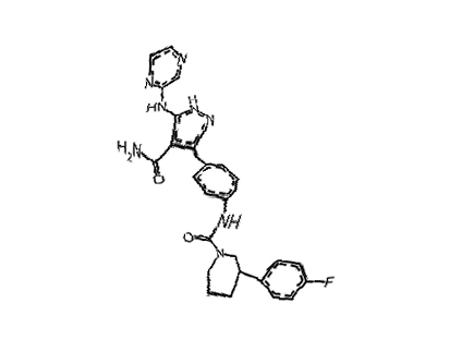 NC(=O)c1c(-c2ccc(NC(=O)N3CCCC(c4ccc(F)cc4)C3)cc2)n[nH]c1Nc1cnccn1